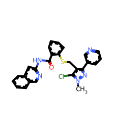 Cn1nc(-c2cccnc2)c(CSc2ccccc2C(=O)Nc2cc3ccccc3cn2)c1Cl